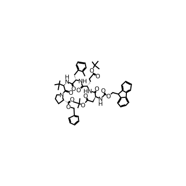 Cc1ccccc1C[C@H](NC(=O)[C@H](CCC(=O)OC(C)(C)C)NC(=O)[C@H](CC(=O)OC(C)(C)C)NC(=O)OCC1c2ccccc2-c2ccccc21)C(=O)N[C@H](C(=O)N1CCC[C@H]1C(=O)OCc1ccccc1)C(C)(C)C